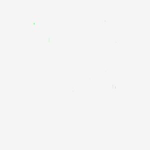 Cc1cc(C)cc([Si](C)(C)[C]2([Ti+3])C=CC(C(C)C)=C2)c1.[Cl-].[Cl-].[Cl-]